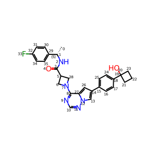 C[C@H](NC(=O)C1CN(c2ncnn3cc(-c4ccc(C5(O)CCC5)cc4)cc23)C1)c1ccc(F)cc1